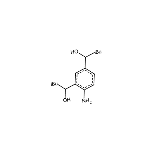 CCC(C)C(O)c1ccc(N)c(C(O)C(C)CC)c1